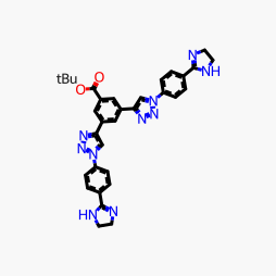 CC(C)(C)OC(=O)c1cc(-c2cn(-c3ccc(C4=NCCN4)cc3)nn2)cc(-c2cn(-c3ccc(C4=NCCN4)cc3)nn2)c1